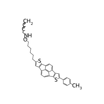 C=C=C=CNOCCCCCCc1cc2c(s1)-c1ccc3c4c(ccc-2c14)-c1sc(-c2ccc(C)cc2)cc1-3